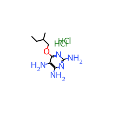 CCC(C)COc1nc(N)nc(N)c1N.Cl.Cl